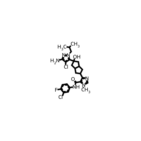 CC(C)Cn1nc(N)c(Cl)c1C1(O)CC2CC(c3ncn(C)c3C(=O)Nc3ccc(F)c(Cl)c3)CC2C1